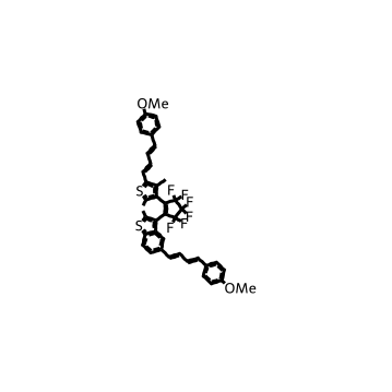 COc1ccc(C=CC=Cc2ccc3sc(C)c(C4=C(c5c(C)sc(C=CC=Cc6ccc(OC)cc6)c5C)C(F)(F)C(F)(F)C4(F)F)c3c2)cc1